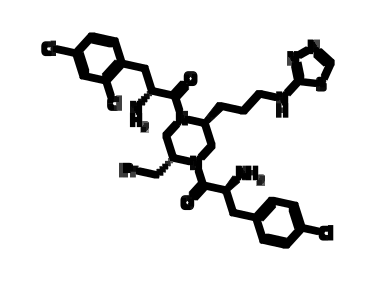 CC(C)C[C@@H]1CN(C(=O)[C@H](N)Cc2ccc(Cl)cc2Cl)[C@@H](CCCNc2nncs2)CN1C(=O)[C@@H](N)Cc1ccc(Cl)cc1